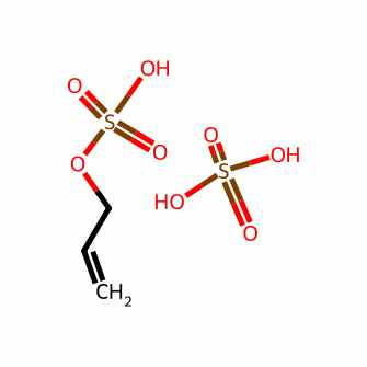 C=CCOS(=O)(=O)O.O=S(=O)(O)O